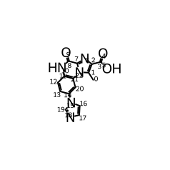 Cc1c(C(=O)O)nc2c(=O)[nH]c3ccc(-n4ccnc4)cc3n12